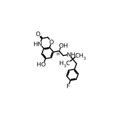 CC(C)(Cc1ccc(F)cc1)NC[C@H](O)c1cc(O)cc2c1OCC(=O)N2